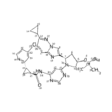 CC(C)(C)[Si](C)(C)OC1C[C@H](c2cn3nc(C4CC4)ccc3n2)N(c2cc(NC(=O)[C@H]3C[C@@H]3c3cc(Cl)ccn3)ncn2)C1